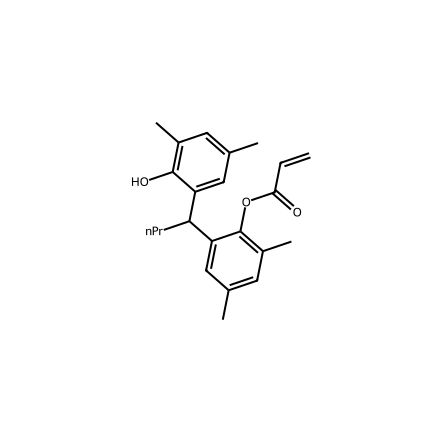 C=CC(=O)Oc1c(C)cc(C)cc1C(CCC)c1cc(C)cc(C)c1O